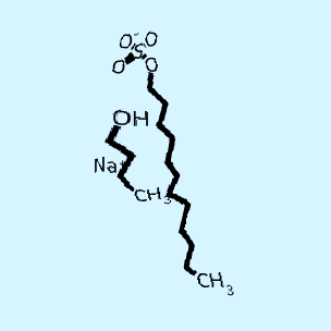 CCCCCCCCCCCCOS(=O)(=O)[O-].CCCCO.[Na+]